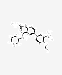 CCOc1ccc(-c2ccc3nc(N)nc(NC4CCCCC4)c3c2)cc1[N+](=O)[O-]